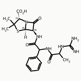 CC(NC(=N)N)C(=O)NC(C(=O)N[C@@H]1C(=O)N2[C@@H]1SC(C)(C)[C@@H]2C(=O)O)c1ccccc1